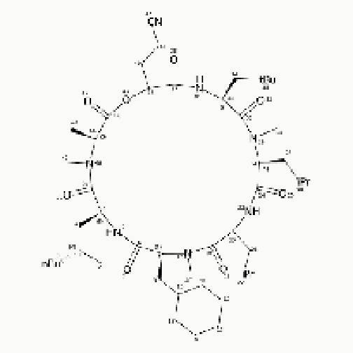 CCCC[C@@H](C)C[C@@H]1NC(=O)[C@H](CC2CCCCC2)N(C)C(=O)C(CC(C)C)NC(=O)[C@H](CC(C)C)N(C)C(=O)[C@H](CC(C)(C)C)NC(=O)C(CCC#N)OC(=O)[C@H](C)N(C)C1=O